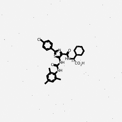 Cc1cc(C)c(NC(=O)Nc2sc(-c3ccc(Cl)cc3)nc2C(=O)N[C@H](C(=O)O)C2CCCCC2)c(C)c1